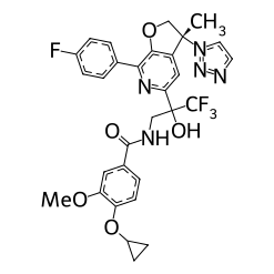 COc1cc(C(=O)NCC(O)(c2cc3c(c(-c4ccc(F)cc4)n2)OC[C@]3(C)n2ccnn2)C(F)(F)F)ccc1OC1CC1